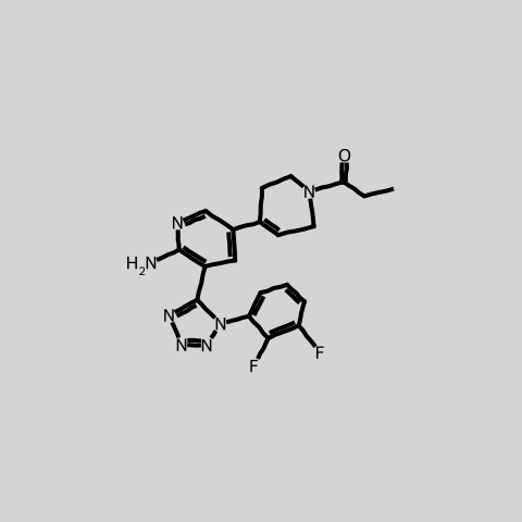 CCC(=O)N1CC=C(c2cnc(N)c(-c3nnnn3-c3cccc(F)c3F)c2)CC1